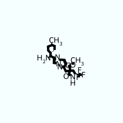 COC(=O)C1(Cc2ccc3nc([C@@H](N)[C@H]4CC[C@H](C)CC4)cn3n2)C[C@@H](C(F)(F)F)NC1=O